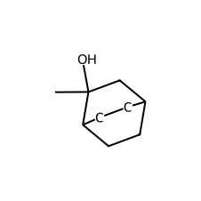 CC1(O)CC2CCC1CC2